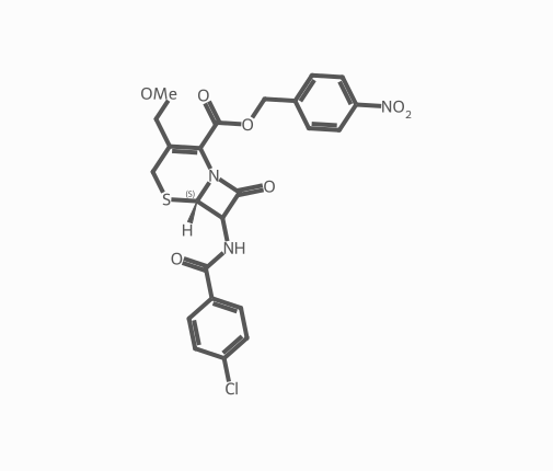 COCC1=C(C(=O)OCc2ccc([N+](=O)[O-])cc2)N2C(=O)C(NC(=O)c3ccc(Cl)cc3)[C@@H]2SC1